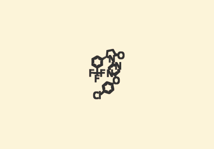 O=C1CC[C@H](c2cccc(C(F)(F)F)c2)N1c1cnc(Oc2ccc(Cl)cc2)cn1